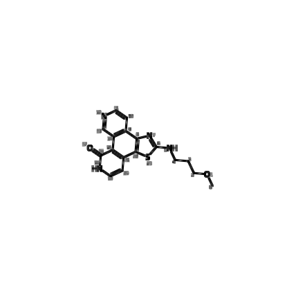 COCCCNc1nc2c3ccncc3c3c(=O)[nH]ccc3c2s1